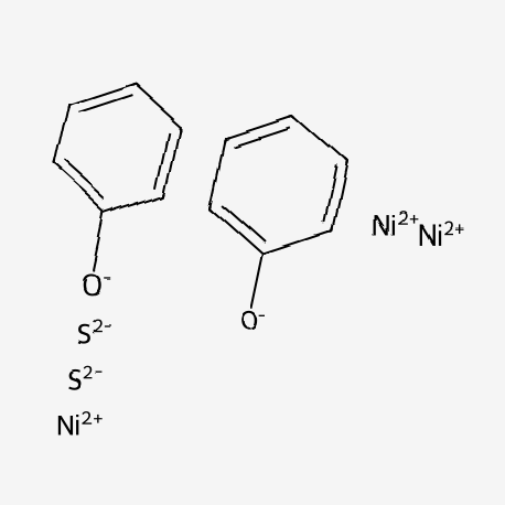 [Ni+2].[Ni+2].[Ni+2].[O-]c1ccccc1.[O-]c1ccccc1.[S-2].[S-2]